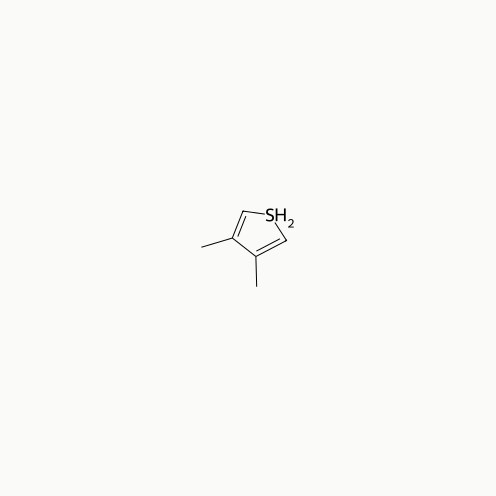 CC1=C[SH2]C=C1C